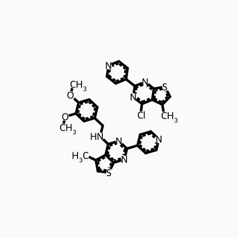 COc1ccc(CNc2nc(-c3ccncc3)nc3scc(C)c23)cc1OC.Cc1csc2nc(-c3ccncc3)nc(Cl)c12